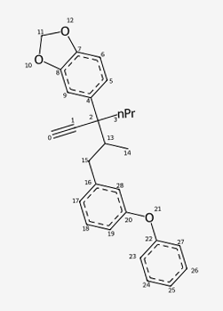 C#CC(CCC)(c1ccc2c(c1)OCO2)C(C)Cc1cccc(Oc2ccccc2)c1